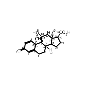 C[C@]12C=CC(=O)C=C1CC[C@@H]1C2[C@@H](O)C[C@@]2(C)C1CC[C@@H]2C(=O)O